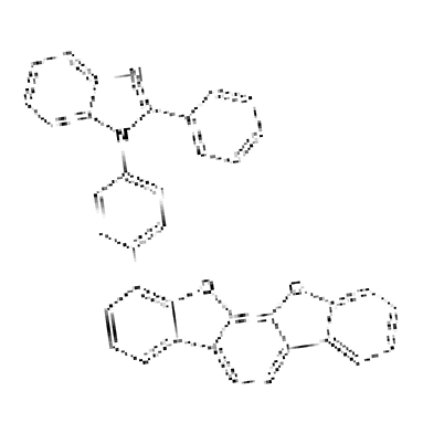 c1ccc(-c2nc3ccccc3n2-c2ccc(-c3cccc4c3oc3c4ccc4c5ccccc5oc43)cc2)cc1